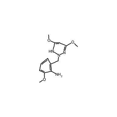 COC1=CC(OC)=NN(Cc2cccc(OC)c2N)N1